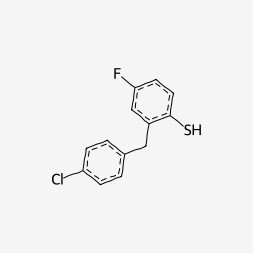 Fc1ccc(S)c(Cc2ccc(Cl)cc2)c1